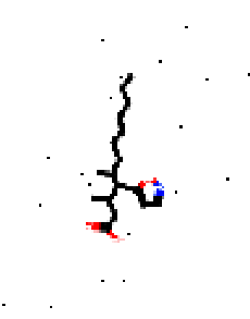 CCCCCCCC(C)C(c1ccno1)C(C)CC(=O)O